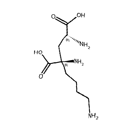 NCCCC[C@@](N)(C[C@@H](N)C(=O)O)C(=O)O